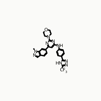 Cn1ncc2ccc(-c3cc(Nc4ccc(-c5nnc(C(F)(F)F)[nH]5)cc4)nc(N4CCOCC4)n3)cc21